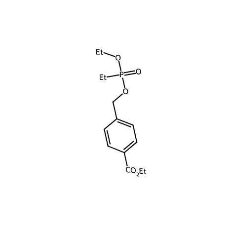 CCOC(=O)c1ccc(COP(=O)(CC)OCC)cc1